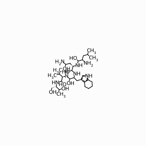 CC(C)CC(N)C(O)N[C@H](CC(N)O)C(O)NC(Cc1c[nH]c2c1CCCC2)C(O)N[C@H](C(C)C)C(O)N[C@@H](CO)C(C)O